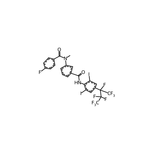 CN(C(=O)c1ccc(F)cc1)c1cccc(C(=O)Nc2c(I)cc(C(F)(C(F)(F)F)C(F)(F)C(F)(F)F)cc2I)c1